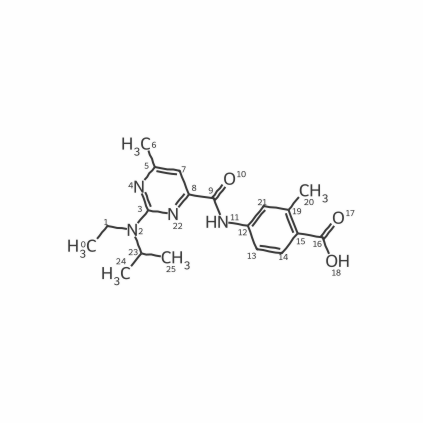 CCN(c1nc(C)cc(C(=O)Nc2ccc(C(=O)O)c(C)c2)n1)C(C)C